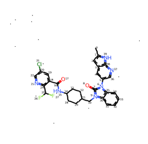 Cc1cc2cc(-n3c(=O)n(CC4CCC(NC(=O)c5cc(Cl)cnc5C(F)F)CC4)c4ccccc43)cnc2[nH]1